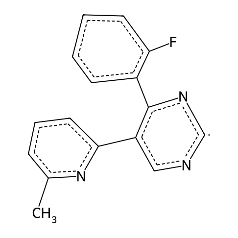 Cc1cccc(-c2cn[c]nc2-c2ccccc2F)n1